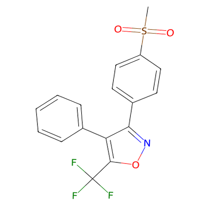 CS(=O)(=O)c1ccc(-c2noc(C(F)(F)F)c2-c2ccccc2)cc1